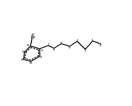 CCCCCCCCc1ccccc1Br